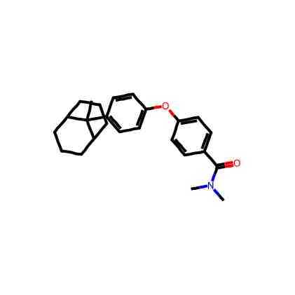 CN(C)C(=O)c1ccc(Oc2ccc(C3(C)C4CCCC3CCC4)cc2)cc1